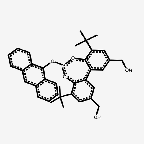 CC(C)(C)c1cc(CO)cc2c1op(Oc1c3ccccc3cc3ccccc13)oc1c(C(C)(C)C)cc(CO)cc12